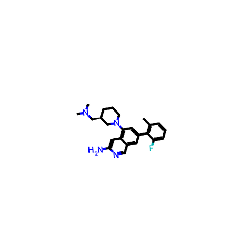 Cc1cccc(F)c1-c1cc(N2CCC[C@H](CN(C)C)C2)c2cc(N)ncc2c1